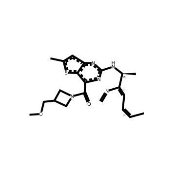 C=N/C(=C\C=C/C)[C@H](C)Nc1nc(C(=O)N2CC(COC)C2)c2sc(C)cc2n1